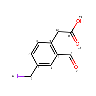 O=Cc1cc(CI)ccc1CC(=O)O